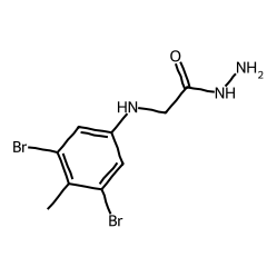 Cc1c(Br)cc(NCC(=O)NN)cc1Br